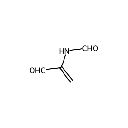 C=C(C=O)NC=O